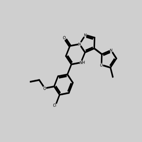 CCOc1cc(-c2cc(=O)n3ncc(-c4ncc(C)o4)c3[nH]2)ccc1Cl